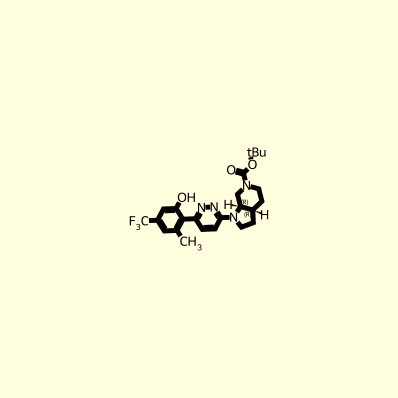 Cc1cc(C(F)(F)F)cc(O)c1-c1ccc(N2CC[C@@H]3CCN(C(=O)OC(C)(C)C)C[C@@H]32)nn1